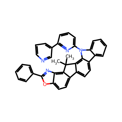 CC1(C)c2c(ccc3oc(-c4ccccc4)nc23)-c2ccc3c4ccccc4n(-c4cccc(-c5cccnc5)n4)c3c21